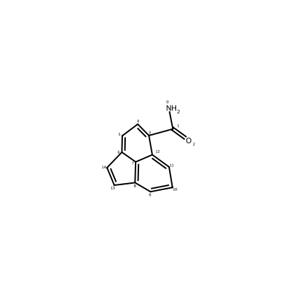 NC(=O)c1ccc2c3c(cccc13)C=C2